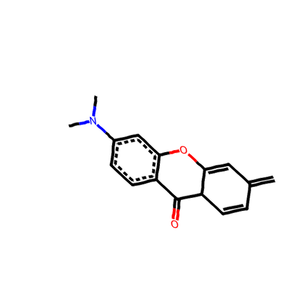 C=C1C=CC2C(=O)c3ccc(N(C)C)cc3OC2=C1